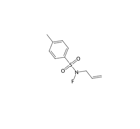 C=CCN(F)S(=O)(=O)c1ccc(C)cc1